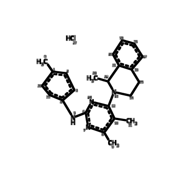 Cc1ccc(Nc2nc(C)c(C)c(N3CCc4ccccc4C3C)n2)cc1.Cl